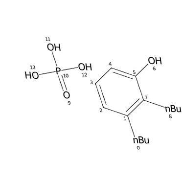 CCCCc1cccc(O)c1CCCC.O=P(O)(O)O